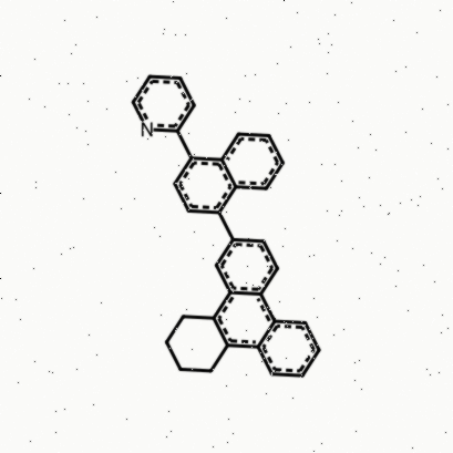 c1ccc(-c2ccc(-c3ccc4c(c3)c3c(c5ccccc54)CCCC3)c3ccccc23)nc1